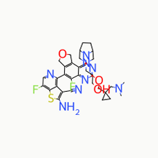 CN(C)CC1(COc2nc(N3C4CCC3CN(CCCO)C4)c3c4c(c(-c5ncc(F)c6sc(N)c(C#N)c56)c(F)c3n2)COC4)CC1